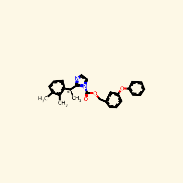 Cc1cccc([C@H](C)c2nccn2C(=O)OCc2cccc(Oc3ccccc3)c2)c1C